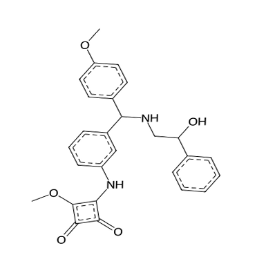 COc1ccc(C(NCC(O)c2ccccc2)c2cccc(Nc3c(OC)c(=O)c3=O)c2)cc1